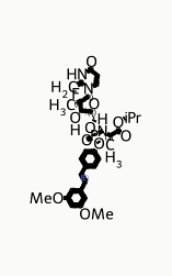 C=C1NC(=O)C=CN1[C@@H]1O[C@H](COP(=O)(N[C@@H](C)C(=O)OC(C)C)Oc2ccc(/C=C/c3cc(OC)cc(OC)c3)cc2)[C@@H](O)[C@@]1(C)F